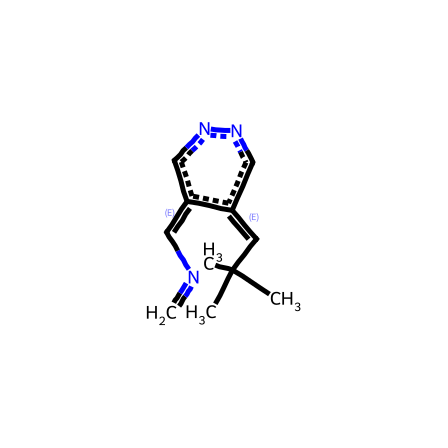 C=N/C=c1/cnnc/c1=C/C(C)(C)C